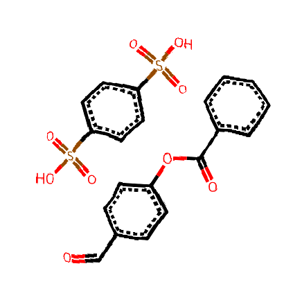 O=Cc1ccc(OC(=O)c2ccccc2)cc1.O=S(=O)(O)c1ccc(S(=O)(=O)O)cc1